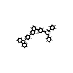 C1=C=Cc2c(c3ccccc3n2-c2ccc(-c3ccc4c(-c5ccc(-c6nc(C7=CCCC=C7)nc(-c7ccccc7)n6)cc5)cccc4c3)cc2)C=1